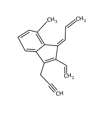 C#CCC1=C(C=C)/C(=C/C=C)c2c(C)cccc21